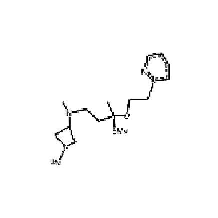 CSC(C)(CCN(C)C1CN(C(C)(C)C)C1)OCCc1ccccn1